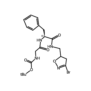 CC(C)(C)OC(=O)NCC(=O)N[C@@H](Cc1ccccc1)C(=O)NCC1CC(Br)=NO1